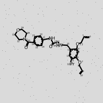 C=CCOc1cc(OCC=C)c(C(C)C)cc1CNNC(=O)Nc1ccc(C(=O)N2CCOCC2)cc1